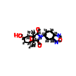 C[C@]12O[C@](C)(C[C@@H]1O)[C@H]1C(=O)N(c3ccc4nonc4c3)C(=O)[C@H]12